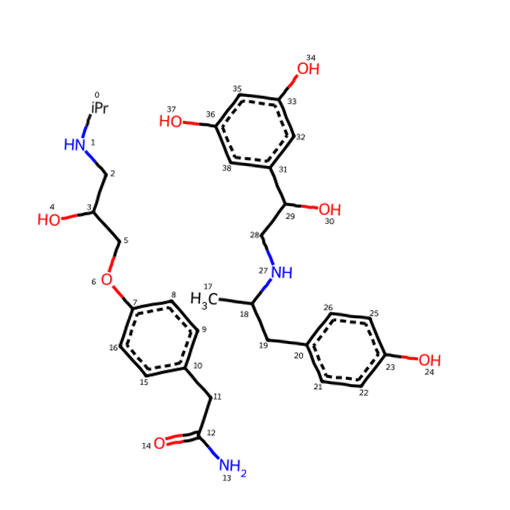 CC(C)NCC(O)COc1ccc(CC(N)=O)cc1.CC(Cc1ccc(O)cc1)NCC(O)c1cc(O)cc(O)c1